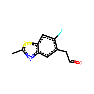 Cc1nc2cc(CC=O)c(F)cc2s1